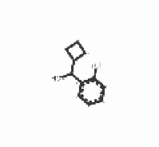 OC(c1ccccc1Cl)C1CCC1